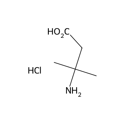 CC(C)(N)CC(=O)O.Cl